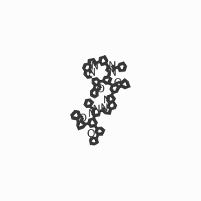 c1ccc(-c2nc(-c3cccc(-c4ccc5ccc6cccnc6c5n4)c3)cc(-c3cc(-c4cccc5c4oc4ccccc45)cc(-c4cc(-c5cnc6c(ccc7ccc(-c8cc(-c9cc(-c%10cccc%11c%10oc%10ccccc%10%11)cc(-c%10cccc%11c%10oc%10ccccc%10%11)c9)nc(-c9ccccc9)n8)nc76)c5)cc5c4oc4ccccc45)c3)n2)cc1